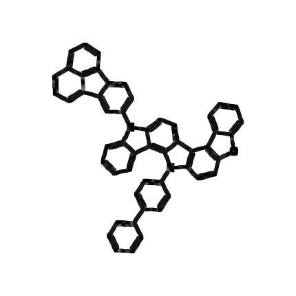 c1ccc(-c2ccc(-n3c4ccc5oc6ccccc6c5c4c4ccc5c(c6ccccc6n5-c5ccc6c(c5)-c5cccc7cccc-6c57)c43)cc2)cc1